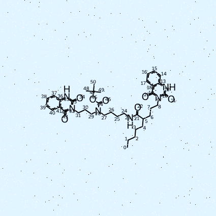 CCCCCC(CCCn1c(=O)[nH]c2ccccc2c1=O)C(=O)NCCCCN(CCCn1c(=O)[nH]c2ccccc2c1=O)C(=O)OC(C)(C)C